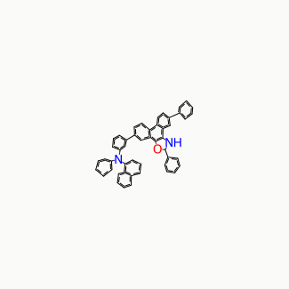 c1ccc(-c2ccc3c(c2)c2c(c4cc(-c5cccc(N(c6ccccc6)c6cccc7ccccc67)c5)ccc43)OC(c3ccccc3)N2)cc1